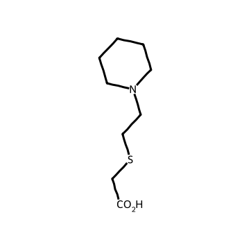 O=C(O)CSCCN1CCCCC1